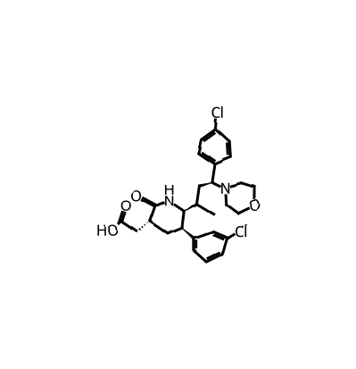 CC(C[C@@H](c1ccc(Cl)cc1)N1CCOCC1)[C@@H]1NC(=O)[C@@H](CC(=O)O)C[C@@H]1c1cccc(Cl)c1